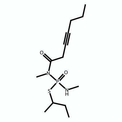 CCCC#CCC(=O)N(C)P(=O)(NC)SC(C)CC